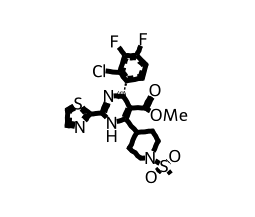 COC(=O)C1=C(C2CCN(S(C)(=O)=O)CC2)NC(c2nccs2)=N[C@@H]1c1ccc(F)c(F)c1Cl